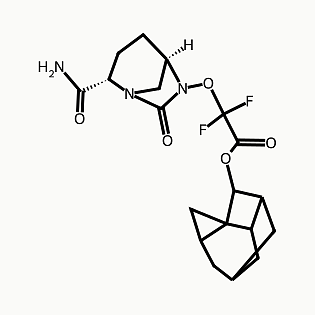 NC(=O)[C@@H]1CC[C@@H]2CN1C(=O)N2OC(F)(F)C(=O)OC1C2CC3CC4CC41C2C3